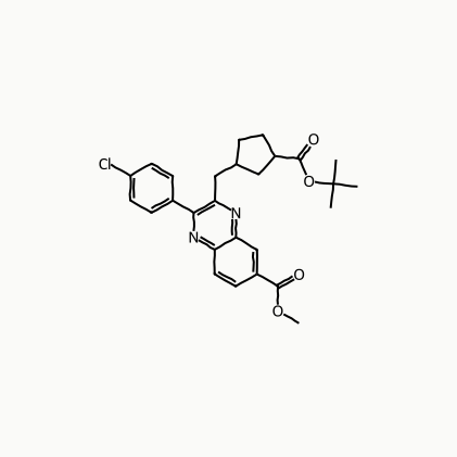 COC(=O)c1ccc2nc(-c3ccc(Cl)cc3)c(CC3CCC(C(=O)OC(C)(C)C)C3)nc2c1